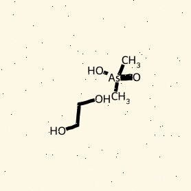 C[As](C)(=O)O.OCCO